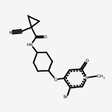 Cn1cc(Br)c(OC2CCC(NC(=O)C3(C#N)CC3)CC2)cc1=O